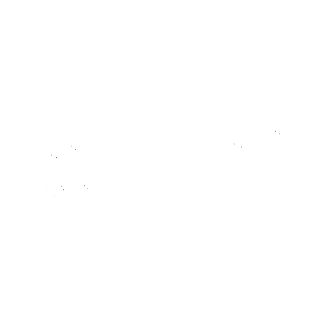 N=N/C(=N\N)c1ccc(-c2ccc(-n3ccnc3)cc2)cc1